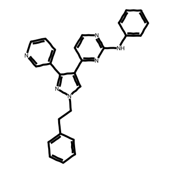 [c]1ccc(Nc2nccc(-c3cn(CCc4ccccc4)nc3-c3cccnc3)n2)cc1